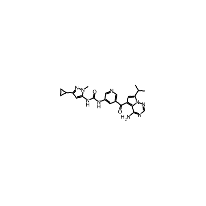 CC(C)c1cc(C(=O)c2cncc(NC(=O)Nc3cc(C4CC4)nn3C)c2)c2c(N)ncnn12